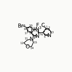 FC(F)(F)c1c[c]ncc1-c1nc(N2CCOCC2)c2cc(Br)cn2n1